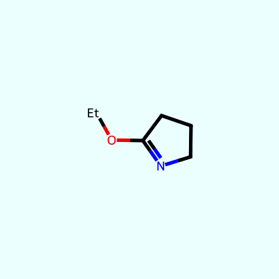 CCOC1=NCCC1